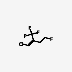 FCC/C(=C/Cl)C(F)(F)F